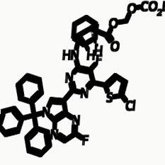 CCOC(=O)OCOC(=O)[C@@H]1C2CCC(CC2)[C@H]1Nc1nc(-c2cn(C(c3ccccc3)(c3ccccc3)c3ccccc3)c3ncc(F)nc23)nc(-c2ccc(Cl)s2)c1F